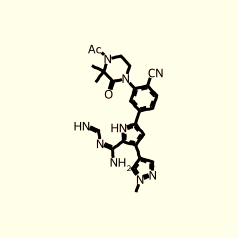 CC(=O)N1CCN(c2cc(-c3cc(-c4cnn(C)c4)c(/C(N)=N\C=N)[nH]3)ccc2C#N)C(=O)C1(C)C